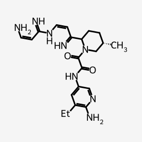 CCc1cc(NC(=O)C(=O)N2C[C@@H](C)CCC2C(=N)/C=C\NC(=N)/C=C\N)cnc1N